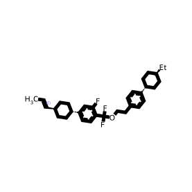 C/C=C/[C@H]1CC[C@H](c2ccc(C(F)(F)OCCc3ccc([C@H]4CC[C@H](CC)CC4)cc3)c(F)c2)CC1